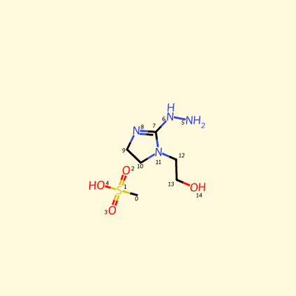 CS(=O)(=O)O.NNC1=NCCN1CCO